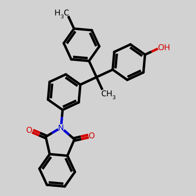 Cc1ccc(C(C)(c2ccc(O)cc2)c2cccc(N3C(=O)c4ccccc4C3=O)c2)cc1